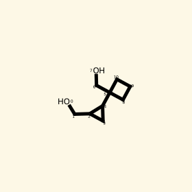 OCC1CC1C1(CO)CCC1